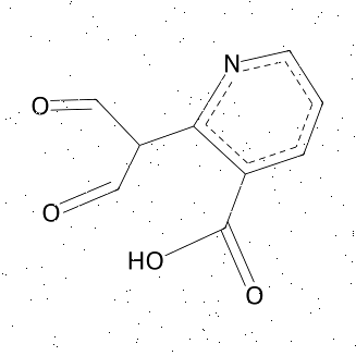 O=CC(C=O)c1ncccc1C(=O)O